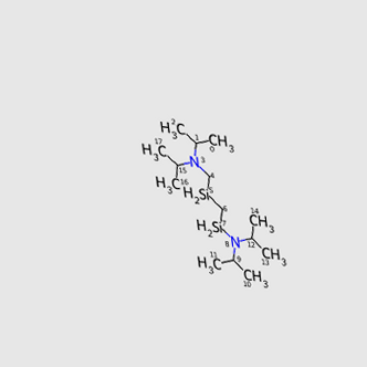 CC(C)N(C[SiH2]C[SiH2]N(C(C)C)C(C)C)C(C)C